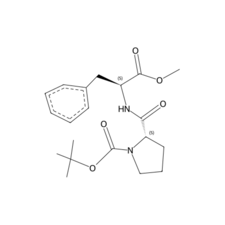 COC(=O)[C@H](Cc1ccccc1)NC(=O)[C@@H]1CCCN1C(=O)OC(C)(C)C